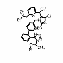 CCCCc1nc(Cl)c(C(O)c2cccc(CN(CC)CC)n2)n1Cc1ccc(-c2ccccc2-c2nnnn2C(C)OCC)cc1